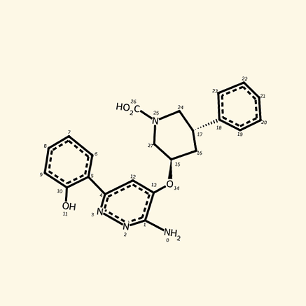 Nc1nnc(-c2ccccc2O)cc1O[C@@H]1C[C@@H](c2ccccc2)CN(C(=O)O)C1